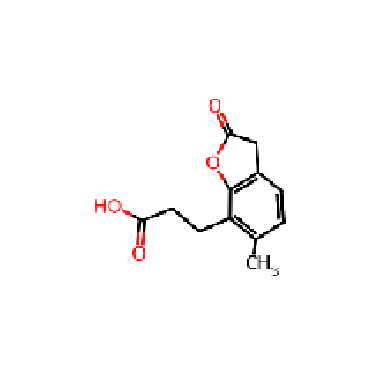 Cc1ccc2c(c1CCC(=O)O)OC(=O)C2